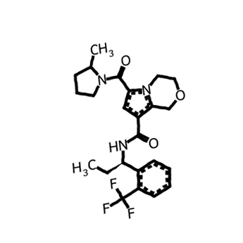 CC[C@@H](NC(=O)c1cc(C(=O)N2CCCC2C)n2c1COCC2)c1ccccc1C(F)(F)F